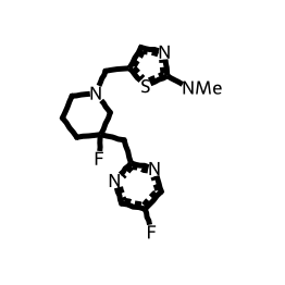 CNc1ncc(CN2CCCC(F)(Cc3ncc(F)cn3)C2)s1